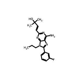 CCCn1c(-c2cccc(F)c2)nc2c(N)nc(/C=C/C(C)(C)O)nc21